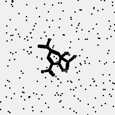 CC1C([N+](=O)[O-])=CC([N+](=O)[O-])=CC1(C)[N+](=O)[O-]